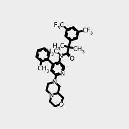 Cc1ccccc1-c1cc(N2CCN3CCOCC3C2)ncc1N(C)C(=O)C(C)(C)c1cc(C(F)(F)F)cc(C(F)(F)F)c1